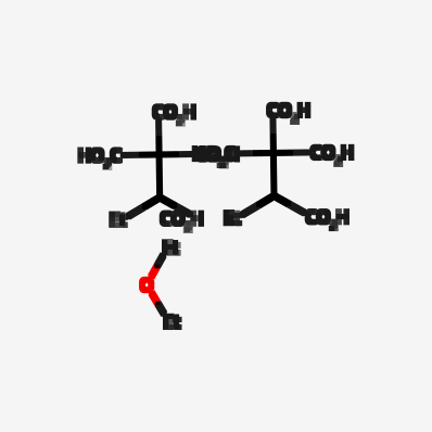 CCC(C(=O)O)C(C(=O)O)(C(=O)O)C(=O)O.CCC(C(=O)O)C(C(=O)O)(C(=O)O)C(=O)O.CCOCC